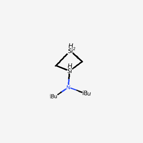 CCC(C)N(C(C)CC)[SiH]1C[SiH2]C1